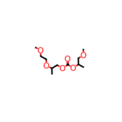 COCCOC(C)COC(=O)OC(C)COC